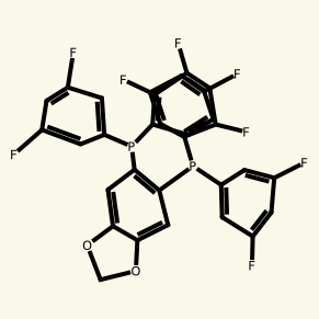 Fc1cc(F)cc(P(c2cc(F)cc(F)c2)c2cc3c(cc2P(c2cc(F)cc(F)c2)c2cc(F)cc(F)c2)OCO3)c1